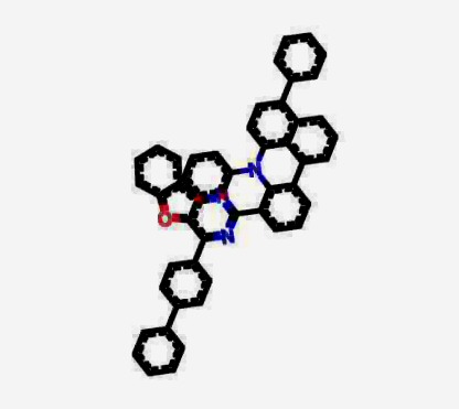 c1ccc(-c2ccc(-c3nc(-c4cccc5c4N(c4ccccc4)c4ccc(-c6ccccc6)c6cccc-5c46)nc4c3oc3ccccc34)cc2)cc1